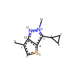 Cc1csc2c(C3CC3)n(C)nc12